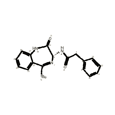 CC(C)(C)C1=N[C@@H](NC(=O)Cc2ccccc2)C(=O)Nc2ccccc21